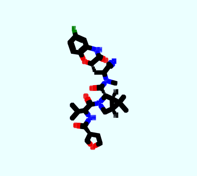 CC(C)C(NC(=O)[C@H]1CCOC1)C(=O)N1C[C@H]2[C@@H]([C@H]1C(=O)N(C)C(C#N)C[C@@H]1Oc3ccc(F)cc3NC1=O)C2(C)C